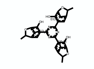 CCOC(=O)c1c2cc(-c3nc(-c4cc5c(C(=O)OCC)c(c4O)OC5C)nc(-c4cc5c(C(=O)OCC)c(c4O)OC5C)n3)c(O)c1OC2C